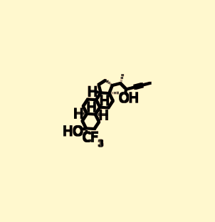 CC#C[C@@H](O)[C@@H](C)[C@H]1CC[C@H]2[C@@H]3CC[C@@H]4C[C@@](O)(C(F)(F)F)CC[C@@H]4[C@H]3CC[C@]12C